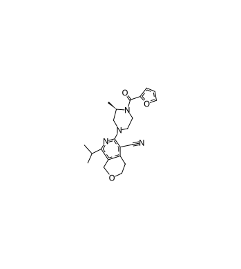 CC(C)c1nc(N2CCN(C(=O)c3ccco3)[C@H](C)C2)c(C#N)c2c1COCC2